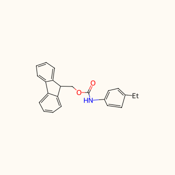 CCc1ccc(NC(=O)OCC2c3ccccc3-c3ccccc32)cc1